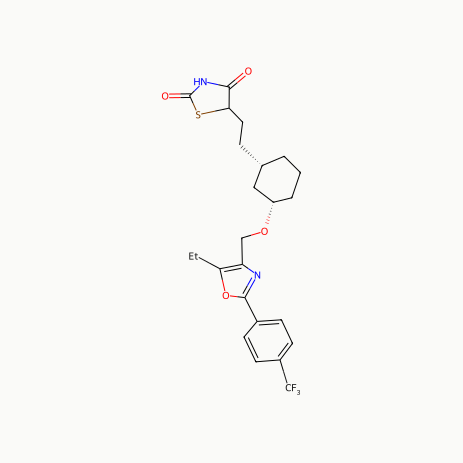 CCc1oc(-c2ccc(C(F)(F)F)cc2)nc1CO[C@H]1CCC[C@@H](CCC2SC(=O)NC2=O)C1